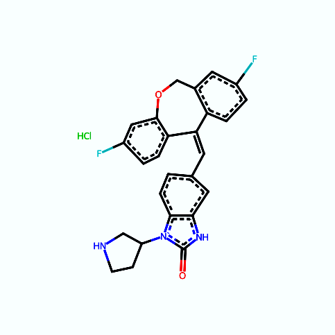 Cl.O=c1[nH]c2cc(C=C3c4ccc(F)cc4COc4cc(F)ccc43)ccc2n1C1CCNC1